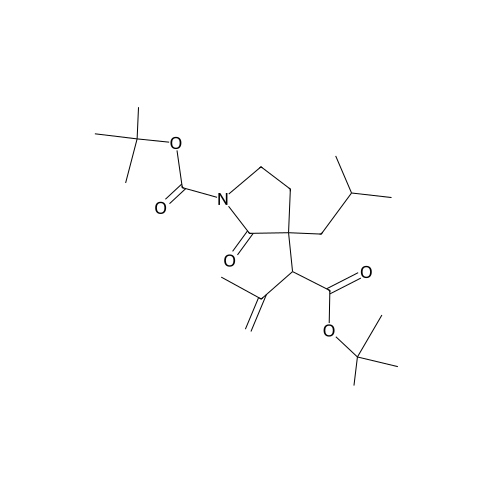 C=C(C)C(C(=O)OC(C)(C)C)C1(CC(C)C)CCN(C(=O)OC(C)(C)C)C1=O